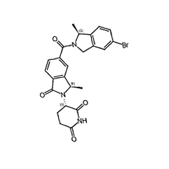 C[C@@H]1c2cc(C(=O)N3Cc4cc(Br)ccc4[C@@H]3C)ccc2C(=O)N1[C@H]1CCC(=O)NC1=O